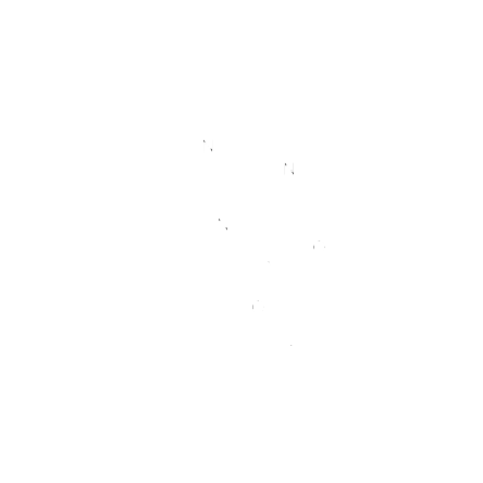 CN(C(=O)OC(C)(C)C)c1nccn1C